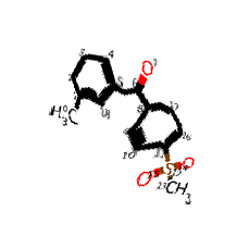 Cc1cccc(C(=O)c2ccc(S(C)(=O)=O)cc2)c1